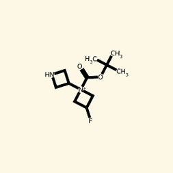 CC(C)(C)OC(=O)[N+]1(C2CNC2)CC(F)C1